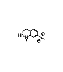 CN1NCCc2ccc(S(C)(=O)=O)cc21